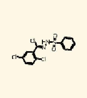 O=S(=O)(NN=C(Cl)c1cc(Cl)ccc1Cl)c1ccccc1